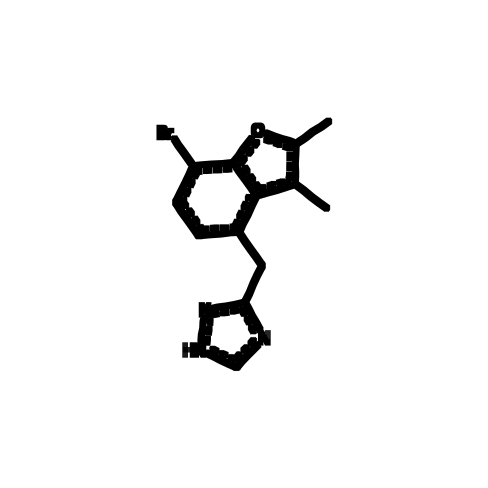 Cc1oc2c(Br)ccc(Cc3nc[nH]n3)c2c1C